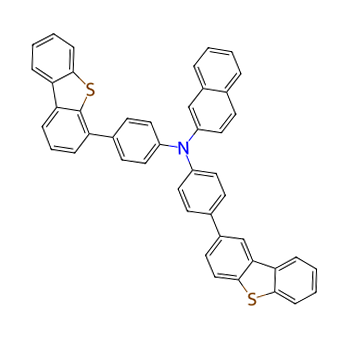 c1ccc2cc(N(c3ccc(-c4ccc5sc6ccccc6c5c4)cc3)c3ccc(-c4cccc5c4sc4ccccc45)cc3)ccc2c1